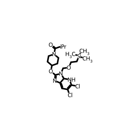 CC(C)C(=O)N1CCC(OC2=NC3=CC(Cl)=C(Cl)NC3N2COCC[Si](C)(C)C)CC1